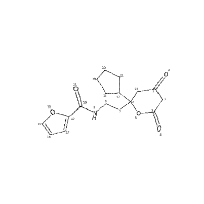 O=C1CC(=O)OC(CCNC(=O)c2ccco2)(C2CCCC2)C1